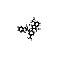 CC(C)c1ccc2c(c1)OC1(O)c3cccc([N+](=O)[O-])c3C(=O)C21NC(=O)c1sc2ccccc2c1Br